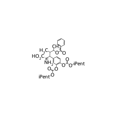 CCCC(C)OC(=O)Oc1ccc(C(C(C)C(C)OC(=O)c2ccccc2)[C@H](N)C(=O)O)cc1OC(=O)OC(C)CCC